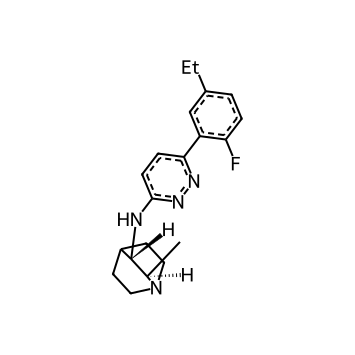 CCc1ccc(F)c(-c2ccc(N[C@H]3C4CCN(CC4)[C@@H]3C)nn2)c1